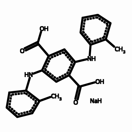 Cc1ccccc1Nc1cc(C(=O)O)c(Nc2ccccc2C)cc1C(=O)O.[NaH]